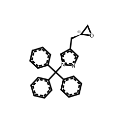 c1ccc(C(c2ccccc2)(c2ccccc2)n2cc(C[C@H]3CO3)cn2)cc1